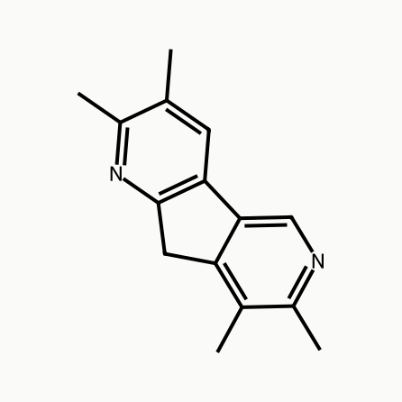 Cc1cc2c(nc1C)Cc1c-2cnc(C)c1C